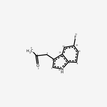 CC(=O)Cc1c[nH]c2ccc(F)cc12